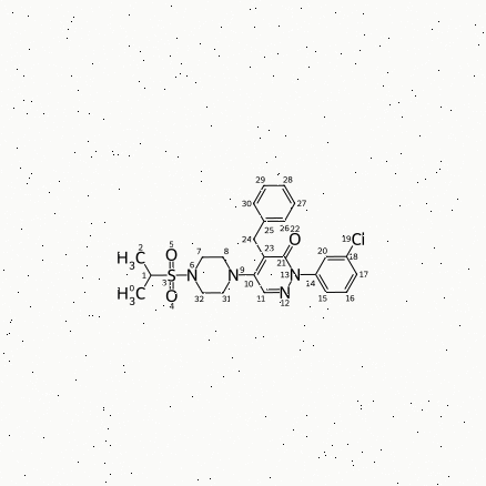 CC(C)S(=O)(=O)N1CCN(c2cnn(-c3cccc(Cl)c3)c(=O)c2Cc2ccccc2)CC1